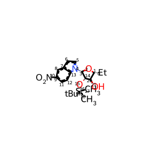 CC[C@H]1O[C@@H](n2ccc3cc([N+](=O)[O-])ccc32)[C@@H](O[Si](C)(C)C(C)(C)C)C1O